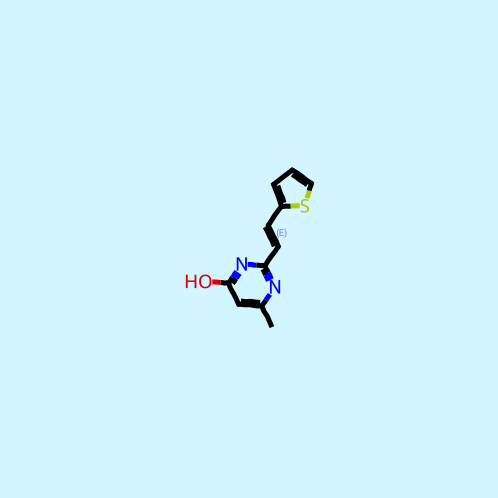 Cc1cc(O)nc(/C=C/c2cccs2)n1